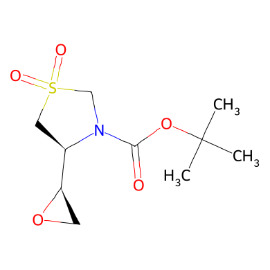 CC(C)(C)OC(=O)N1CS(=O)(=O)C[C@@H]1[C@H]1CO1